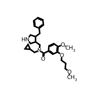 COCCCOc1cc(C(=O)N(CC2CC2)CC2CNCC2Cc2ccccc2)ccc1OC